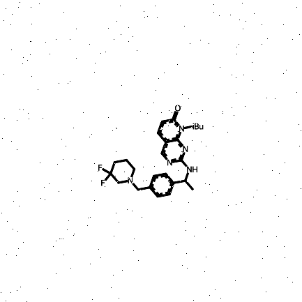 CCC(C)n1c(=O)ccc2cnc(NC(C)c3ccc(CN4CCCC(F)(F)C4)cc3)nc21